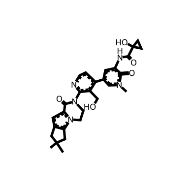 Cn1cc(-c2ccnc(N3CCn4c(cc5c4CC(C)(C)C5)C3=O)c2CO)cc(NC(=O)C2(O)CC2)c1=O